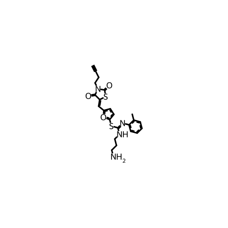 C#CCCN1C(=O)S/C(=C\c2ccc(S/C(=N/c3ccccc3C)NCCCN)o2)C1=O